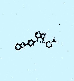 CCC(=O)N1CCC[C@@H](Nc2n[nH]c3nccc(Oc4ccc(-c5nc6ccccc6s5)cc4)c23)C1